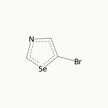 Brc1cnc[se]1